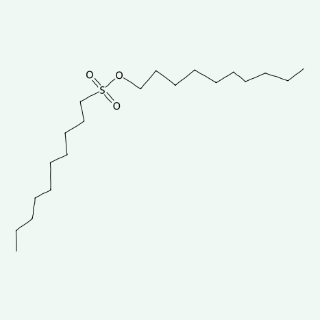 CCCCCCCCCCOS(=O)(=O)CCCCCCCCCC